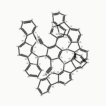 N#Cc1c(-c2cccnc2)c(-n2c3ccccc3c3ccc4c5ccccc5sc4c32)c(-n2c3ccccc3c3ccc4c5ccccc5sc4c32)c(C#N)c1-n1c2ccccc2c2ccc3c4ccccc4sc3c21